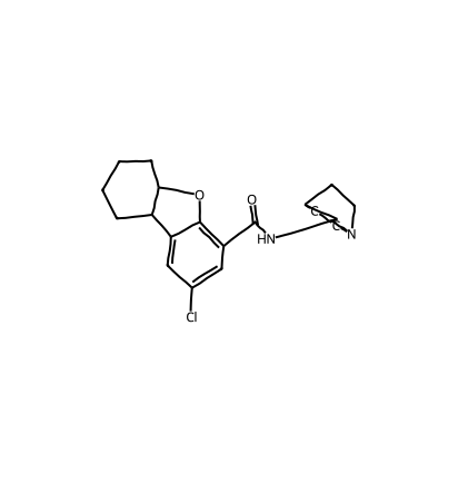 O=C(NC1CN2CCC1CC2)c1cc(Cl)cc2c1OC1CCCCC21